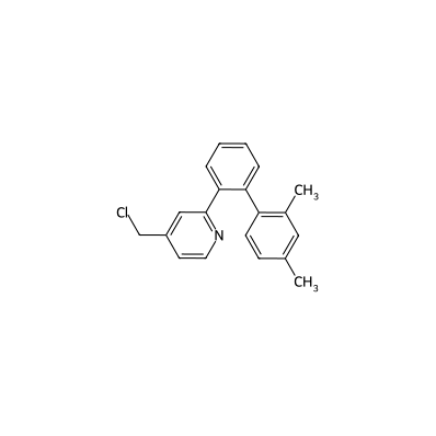 Cc1ccc(-c2ccccc2-c2cc(CCl)ccn2)c(C)c1